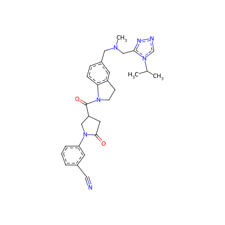 CC(C)n1cnnc1CN(C)Cc1ccc2c(c1)CCN2C(=O)C1CC(=O)N(c2cccc(C#N)c2)C1